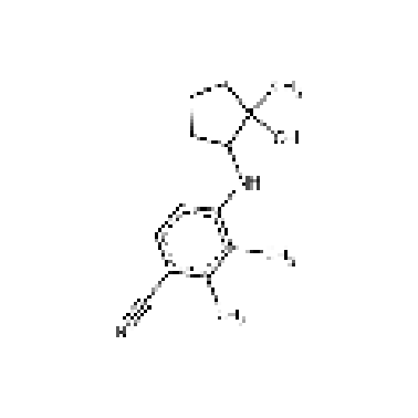 Cc1c(C#N)ccc(NC2CCCC2(C)O)c1C